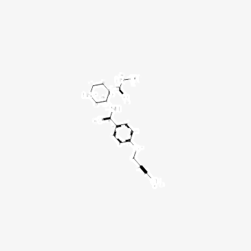 CC#CCOc1ccc(C(=O)N[C@@H]2CNCC[C@@H]2C(=O)NO)cc1